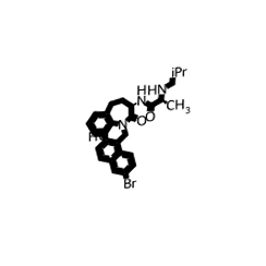 CC(C)CN[C@@H](C)C(=O)N[C@H]1CCc2ccc#cc2N(Cc2c(O)ccc3cc(Br)ccc23)C1=O